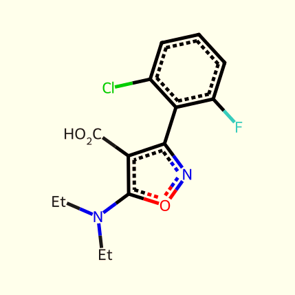 CCN(CC)c1onc(-c2c(F)cccc2Cl)c1C(=O)O